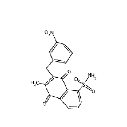 CC1=C(Cc2cccc([N+](=O)[O-])c2)C(=O)c2c(cccc2S(N)(=O)=O)C1=O